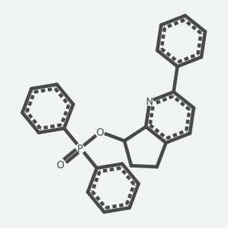 O=P(OC1CCc2ccc(-c3ccccc3)nc21)(c1ccccc1)c1ccccc1